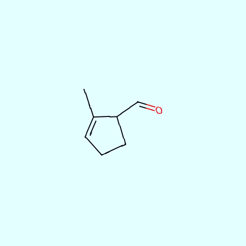 CC1=CCCC1C=O